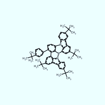 CC(C)(C)c1ccc(-c2ccc3c4c2-c2cc(C(C)(C)C)cc5c6cc(C(C)(C)C)ccc6n(c25)B4c2cc(C(C)(C)C)cc4c5cc(C(C)(C)C)ccc5n-3c24)cc1